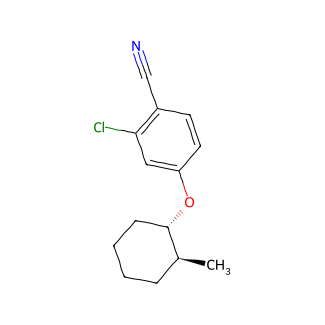 C[C@H]1CCCC[C@@H]1Oc1ccc(C#N)c(Cl)c1